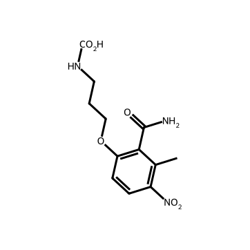 Cc1c([N+](=O)[O-])ccc(OCCCNC(=O)O)c1C(N)=O